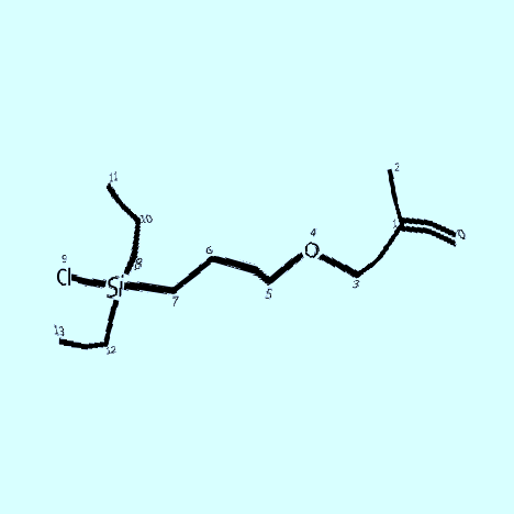 C=C(C)COCCC[Si](Cl)(CC)CC